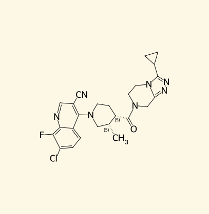 C[C@@H]1CN(c2c(C#N)cnc3c(F)c(Cl)ccc23)CC[C@@H]1C(=O)N1CCn2c(nnc2C2CC2)C1